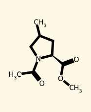 COC(=O)[C@@H]1CC(C)CN1C(C)=O